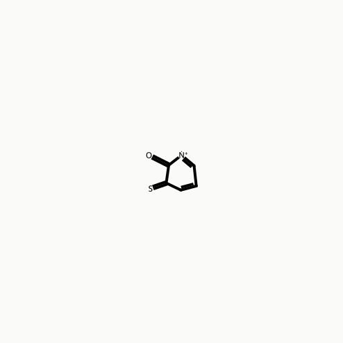 O=C1[N+]=CC=CC1=S